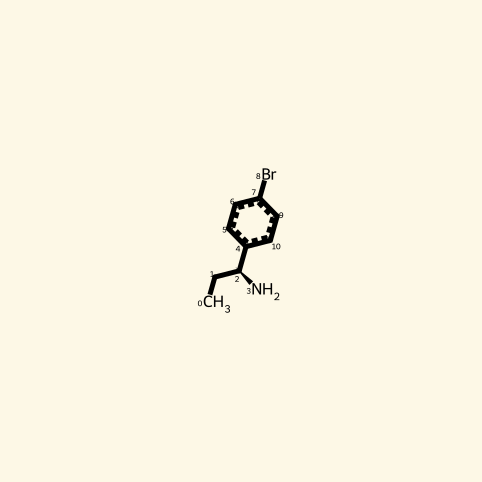 CC[C@H](N)c1ccc(Br)cc1